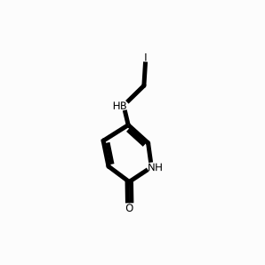 O=c1ccc(BCI)c[nH]1